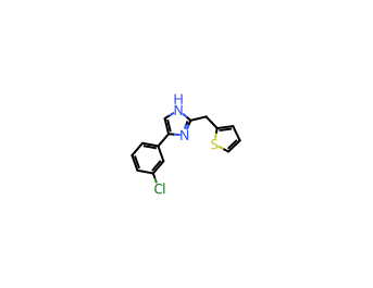 Clc1cccc(-c2c[nH]c(Cc3cccs3)n2)c1